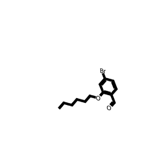 CCCCCCOc1cc(Br)ccc1C=O